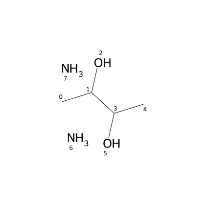 CC(O)C(C)O.N.N